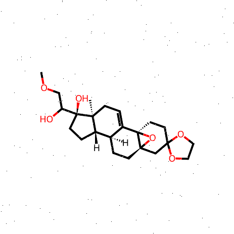 COCC(O)[C@@]1(O)CC[C@H]2[C@@H]3CC[C@@]45CC6(CC[C@@]4(O5)C3=CC[C@@]21C)OCCO6